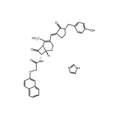 O=C(CSc1ccc2ccccc2c1)N[C@@H]1C(=O)N2C(C(=O)O)=C(/C=C3\CCN(Cc4ccc(O)cc4)C3=O)CS[C@H]12.c1c[nH]cn1